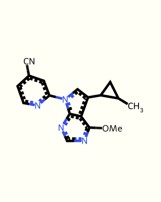 COc1ncnc2c1c(C1CC1C)cn2-c1cc(C#N)ccn1